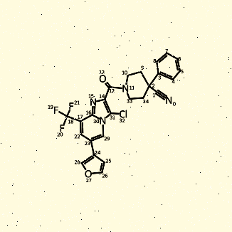 N#CC1(c2ccccc2)CCN(C(=O)c2nc3c(C(F)(F)F)cc(-c4ccoc4)cn3c2Cl)CC1